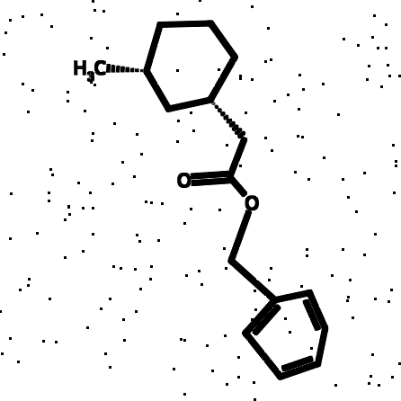 C[C@@H]1CCC[C@H](CC(=O)OCc2ccccc2)C1